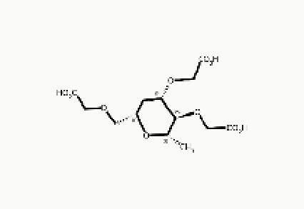 C[C@@H]1O[C@H](COCC(=O)O)C[C@H](OCC(=O)O)[C@H]1OCC(=O)O